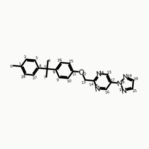 Cc1ccc(C(C)(C)c2ccc(OCc3ncc(-n4nccn4)cn3)cc2)cc1